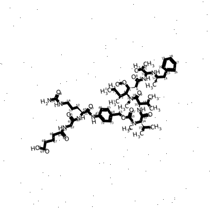 CC[C@H](C)[C@@H]([C@@H](CC(=O)NC(N[C@H](C)Cc1ccccc1)C(C)C)OC)N(C)C(=O)[C@@H](NC(=O)[C@H](C(C)C)N(C)C(=O)OCc1ccc(NC(=O)[C@H](CCCNC(N)=O)NC(=O)CNC(=O)CCCC(=O)O)cc1)C(C)C